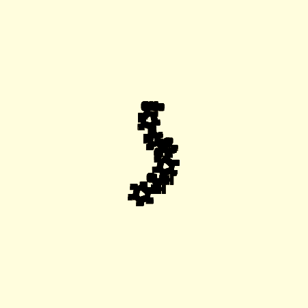 COc1ccc(-n2cc(S(=O)(=O)N(C)c3ccc(NC(=O)Nc4ccccc4)cc3)cn2)cn1